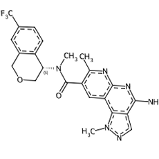 Cc1nc2nc(N)c3cnn(C)c3c2cc1C(=O)N(C)[C@@H]1COCc2cc(C(F)(F)F)ccc21